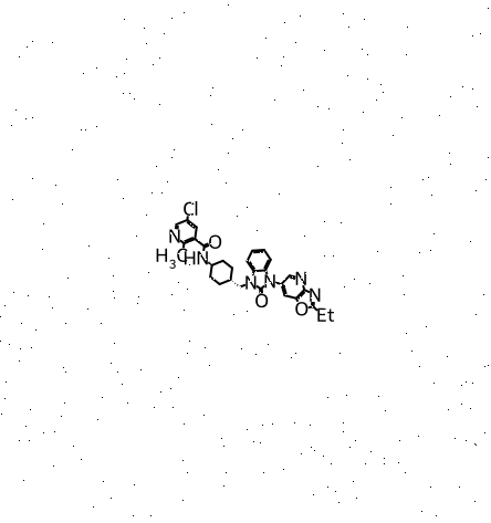 CCc1nc2ncc(-n3c(=O)n(C[C@H]4CC[C@H](NC(=O)c5cc(Cl)cnc5C)CC4)c4ccccc43)cc2o1